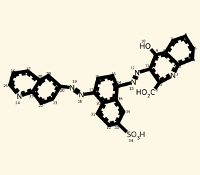 O=C(O)c1nc2ccccc2c(O)c1/N=N/c1ccc(/N=N/c2ccc3ncccc3c2)c2ccc(S(=O)(=O)O)cc12